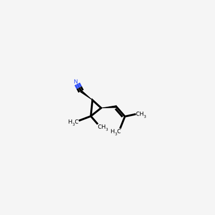 CC(C)=C[C@@H]1[C@H](C#N)C1(C)C